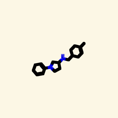 CC1=CCC(CNC2CCN(C3=CCCC=C3)C2)CC1